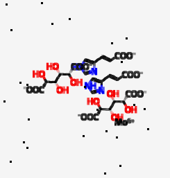 O=C([O-])C=Cc1c[nH]cn1.O=C([O-])C=Cc1c[nH]cn1.O=C([O-])[C@@H](O)[C@@H](O)[C@H](O)[C@@H](O)C(=O)[O-].O=C([O-])[C@@H](O)[C@@H](O)[C@H](O)[C@@H](O)C(=O)[O-].[Mo+6]